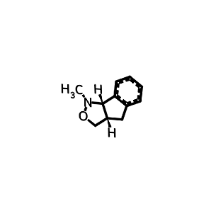 CN1OC[C@H]2Cc3ccccc3[C@H]21